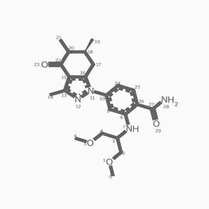 COCC(COC)Nc1cc(-n2nc(C)c3c2C[C@H](C)C(C)C3=O)ccc1C(N)=O